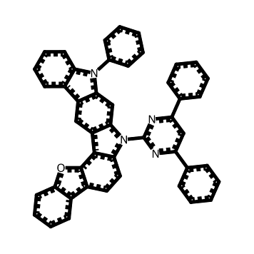 c1ccc(-c2cc(-c3ccccc3)nc(-n3c4cc5c(cc4c4c6oc7ccccc7c6ccc43)c3ccccc3n5-c3ccccc3)n2)cc1